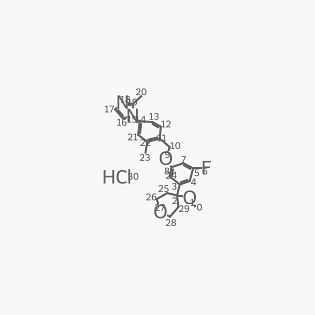 COC1(c2cc(F)cc(OCc3ccc(-n4ccnc4C)cc3C)c2)CCOCC1.Cl